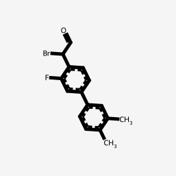 Cc1ccc(-c2ccc(C(Br)C=O)c(F)c2)cc1C